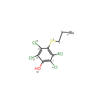 CCC(C)CCSc1c(Cl)c(Cl)c(O)c(Cl)c1Cl